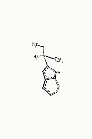 CCS(C)(C)c1cc2ccccc2[nH]1